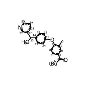 Cc1cc(C(=O)C(C)(C)C)ccc1Oc1ccc(C(O)c2cccnc2)cc1